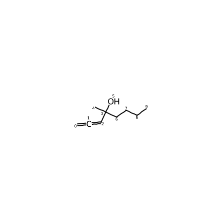 C=C=CC(C)(O)CCCC